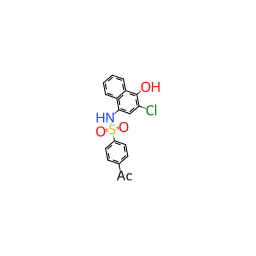 CC(=O)c1ccc(S(=O)(=O)Nc2cc(Cl)c(O)c3ccccc23)cc1